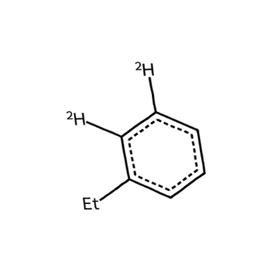 [2H]c1cccc(CC)c1[2H]